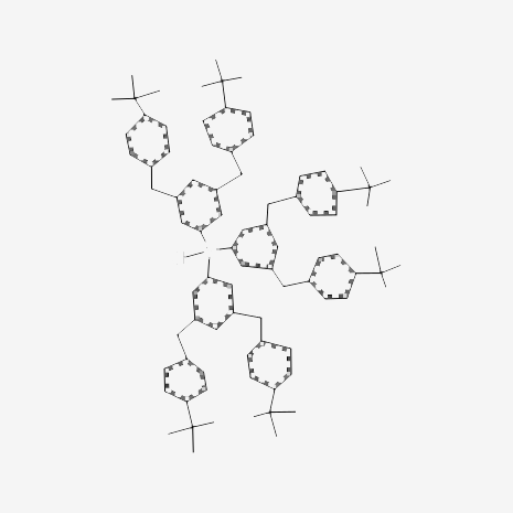 CC(C)(C)c1ccc(Cc2cc(Cc3ccc(C(C)(C)C)cc3)cc([Si](Cl)(c3cc(Cc4ccc(C(C)(C)C)cc4)cc(Cc4ccc(C(C)(C)C)cc4)c3)c3cc(Cc4ccc(C(C)(C)C)cc4)cc(Cc4ccc(C(C)(C)C)cc4)c3)c2)cc1